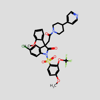 COc1ccc(S(=O)(=O)N2C(=O)C(CC(=O)N3CCC(c4ccncc4)CC3)(c3ccccc3OC)c3cc(Cl)ccc32)c(OC(F)(F)F)c1